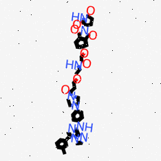 Cc1cccc(-c2cnc(Nc3ccc(N4CCN(C(=O)CCOCCNC(=O)COc5ccc6c(c5)C(=O)N(C5CCC(=O)NC5=O)C6=O)CC4)cc3)c3nccn23)c1